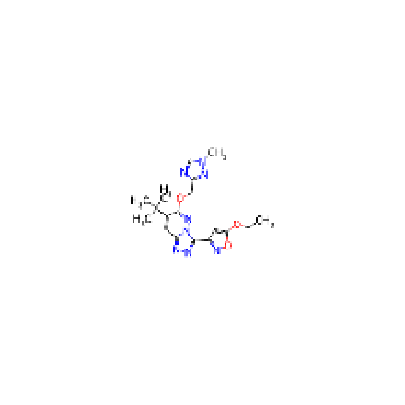 CCOc1cc(-c2nnc3cc(C(C)(C)C)c(OCc4ncn(C)n4)nn23)no1